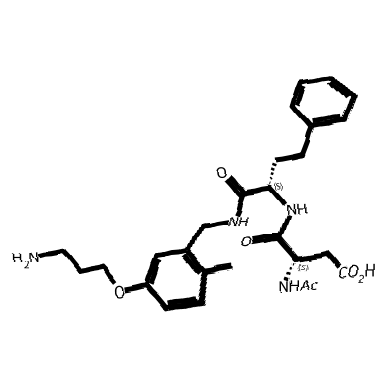 CC(=O)N[C@@H](CC(=O)O)C(=O)N[C@@H](CCc1ccccc1)C(=O)NCc1cc(OCCCN)ccc1C